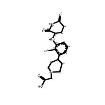 O=C(O)CN1CCC(c2cccc(NC3CCC(=O)NC3=O)c2F)CC1